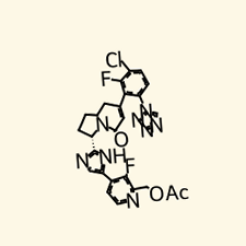 CC(=O)OCc1nccc(-c2cnc([C@@H]3CCC4CC(c5c(-n6cnnn6)ccc(Cl)c5F)=CC(=O)N43)[nH]2)c1F